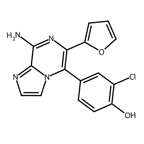 Nc1nc(-c2ccco2)c(-c2ccc(O)c(Cl)c2)n2ccnc12